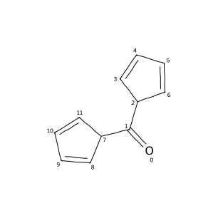 O=C(C1C=CC=C1)C1C=CC=C1